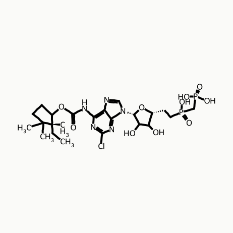 CC[C@@]1(C)C(OC(=O)Nc2nc(Cl)nc3c2ncn3[C@@H]2O[C@H](CCP(=O)(O)CP(=O)(O)O)C(O)C2O)CCC1(C)C